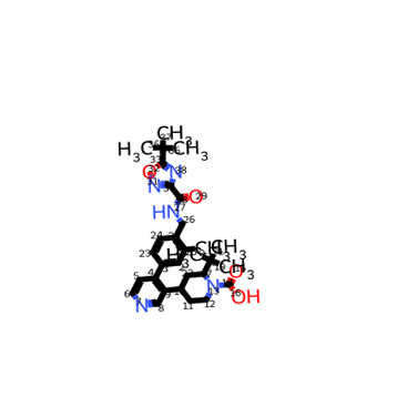 Cc1cc(-c2ccncc2C2CCN(C(=O)O)C(C(C)(C)C)C2)ccc1CNC(=O)c1noc(C(C)(C)C)n1